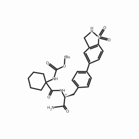 CC(C)(C)OC(=O)NC1(C(=O)N[C@@H](Cc2ccc(-c3ccc4c(c3)CNS4(=O)=O)cc2)C(N)=O)CCCCC1